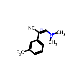 CN(C)/C=C(/C#N)c1cccc(C(F)(F)F)c1